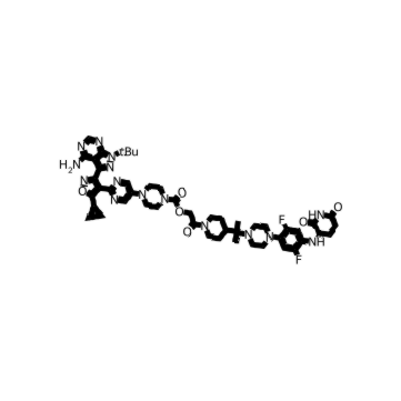 CC(C)(C1CCN(C(=O)COC(=O)N2CCN(c3cnc(-c4c(-c5nn(C(C)(C)C)c6ncnc(N)c56)noc4C4CC4)nc3)CC2)CC1)N1CCN(c2cc(F)c(N[C@H]3CCC(=O)NC3=O)cc2F)CC1